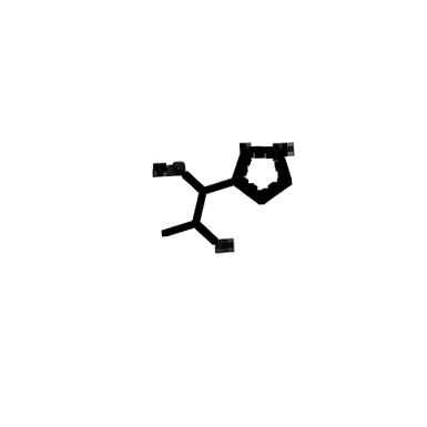 COC(c1cc[nH]n1)C(C)S